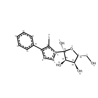 OC[C@H]1O[C@](O)(n2nnc(-c3ccccc3)c2I)[C@H](O)[C@@H]1O